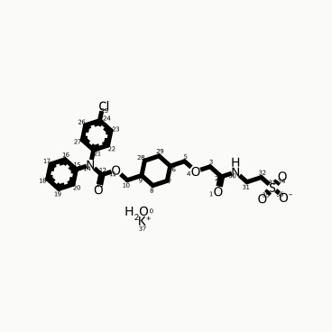 O.O=C(COCC1CCC(COC(=O)N(c2ccccc2)c2ccc(Cl)cc2)CC1)NCCS(=O)(=O)[O-].[K+]